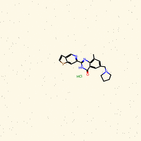 Cc1cc(CN2CCCC2)cc2c(=O)[nH]c(-c3cc4sccc4cn3)nc12.Cl